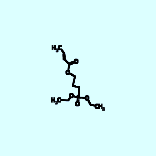 CC=CC(=O)OCCCP(=O)(OCC)OCC